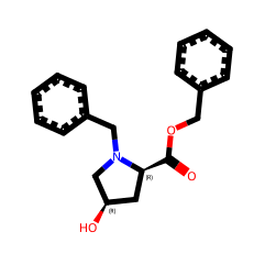 O=C(OCc1ccccc1)[C@H]1C[C@@H](O)CN1Cc1ccccc1